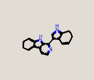 C1=Cc2c(-c3nccc4c5c([nH]c34)=CCCC=5)c[nH]c2CC1